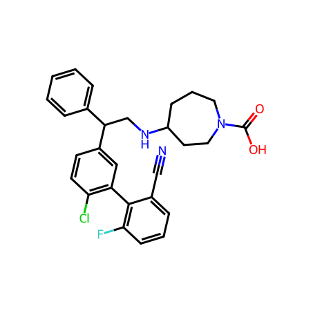 N#Cc1cccc(F)c1-c1cc(C(CNC2CCCN(C(=O)O)CC2)c2ccccc2)ccc1Cl